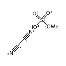 COS(=O)(=O)O.N#CC#N